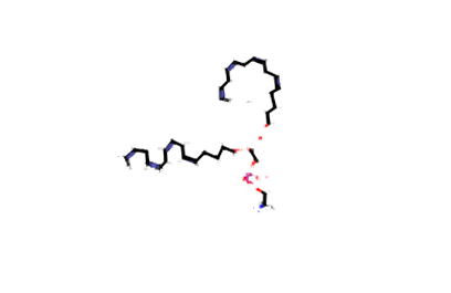 CCCCC/C=C\C/C=C\C/C=C\C/C=C\CCCCOC[C@H](COP(=O)(O)OC[C@H](N)C(=O)O)OCCCC/C=C\C/C=C\C/C=C\C/C=C\CCCCC